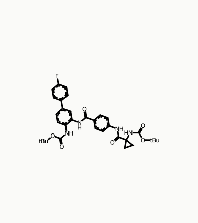 CC(C)(C)OC(=O)Nc1ccc(-c2ccc(F)cc2)cc1NC(=O)c1ccc(NC(=O)C2(NC(=O)OC(C)(C)C)CC2)cc1